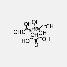 O=C(CO)CO.O=C[C@@H](O)[C@@H](O)[C@@H](O)[C@H](O)CO